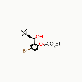 CCOC(=O)COc1ccc(Br)cc1C(O)C#C[Si](C)(C)C